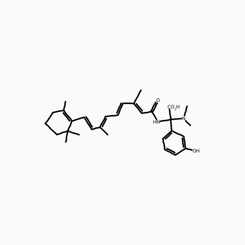 CC(C=CC1=C(C)CCCC1(C)C)=CC=CC(C)=CC(=O)NC(C(=O)O)(c1cccc(O)c1)N(C)C